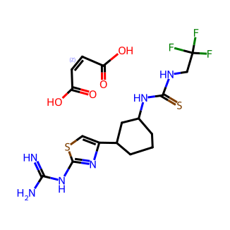 N=C(N)Nc1nc(C2CCCC(NC(=S)NCC(F)(F)F)C2)cs1.O=C(O)/C=C\C(=O)O